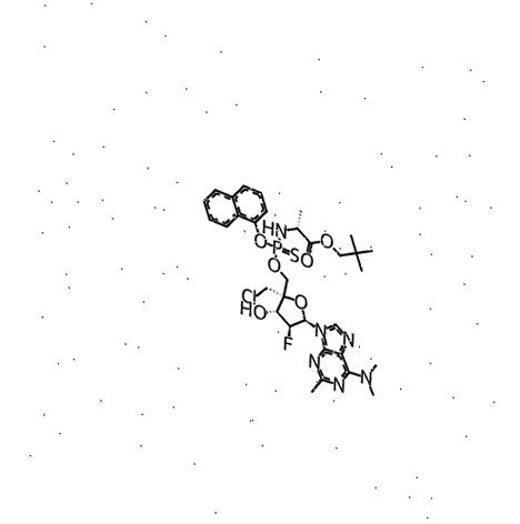 Cc1nc(N(C)C)c2ncn([C@@H]3O[C@](CCl)(CO[P@](=S)(N[C@H](C)C(=O)OCC(C)(C)C)Oc4cccc5ccccc45)[C@@H](O)[C@@H]3F)c2n1